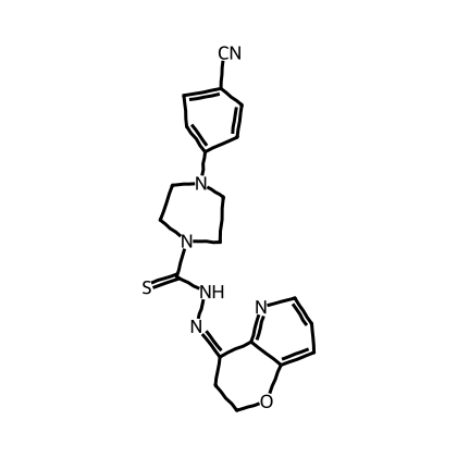 N#Cc1ccc(N2CCN(C(=S)N/N=C3/CCOc4cccnc43)CC2)cc1